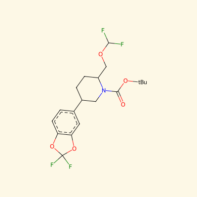 CC(C)(C)OC(=O)N1CC(c2ccc3c(c2)OC(F)(F)O3)CCC1COC(F)F